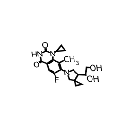 Cc1c(N2CC(C(O)CO)C3(CC3)C2)c(F)cc2c(=O)[nH]c(=O)n(C3CC3)c12